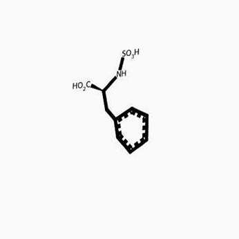 O=C(O)[C@H](Cc1ccccc1)NS(=O)(=O)O